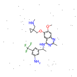 CNCC1(COc2cc3c(NC(C)c4cc(N)cc(C(F)(F)F)c4)nc(C)nc3cc2OC)CC1